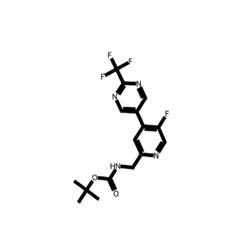 CC(C)(C)OC(=O)NCc1cc(-c2cnc(C(F)(F)F)nc2)c(F)cn1